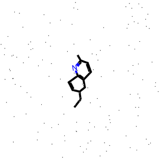 CCC1C=Cc2nc(C)ccc2C1